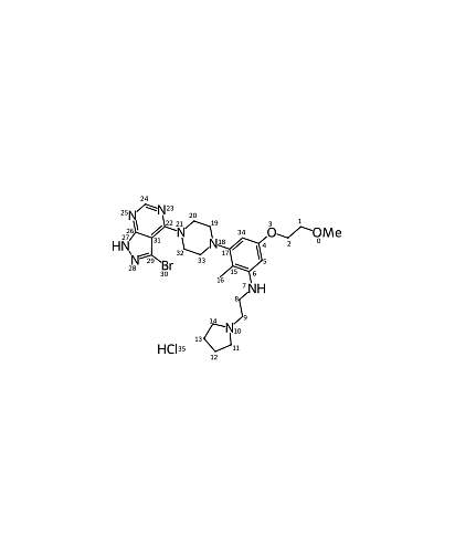 COCCOc1cc(NCCN2CCCC2)c(C)c(N2CCN(c3ncnc4[nH]nc(Br)c34)CC2)c1.Cl